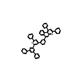 c1ccc(-c2cc(-c3ccccc3)cc(-c3cc(-c4cccc(-c5cc6nc(-c7ccccc7)cc(-c7ccccc7)c6c6ccccc56)c4)cc(-c4ccccc4)n3)c2)cc1